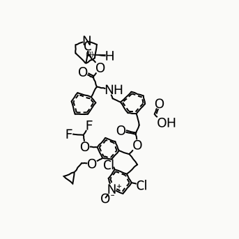 O=C(Cc1cccc(CNC(C(=O)O[C@H]2CN3CCC2CC3)c2ccccc2)c1)OC(Cc1c(Cl)c[n+]([O-])cc1Cl)c1ccc(OC(F)F)c(OCC2CC2)c1.O=CO